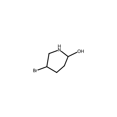 OC1CCC(Br)CN1